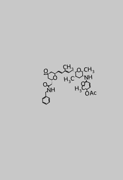 CC(=O)O[C@@H](C)/C=C\C(=O)N[C@@H]1C[C@H](C)[C@H](C/C=C(C)/C=C/[C@@H]2C[C@]3(CO3)C[C@@H](CC(=O)NCc3ccccc3)O2)O[C@@H]1C